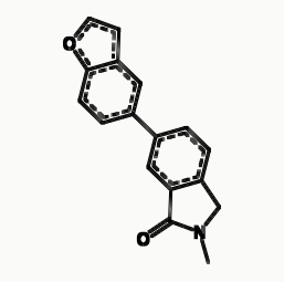 CN1Cc2ccc(-c3ccc4occc4c3)cc2C1=O